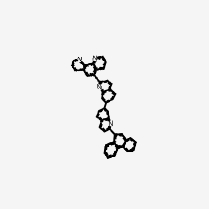 c1ccc2c(c1)cc(-c1ccc3ccc(-c4ccc5ccc(-c6cc7cccnc7c7ncccc67)nc5c4)cc3n1)c1ccccc12